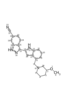 COC1CCCN(Cc2cccc3[nH]c(-c4n[nH]c5cc(C#N)ccc45)cc23)C1